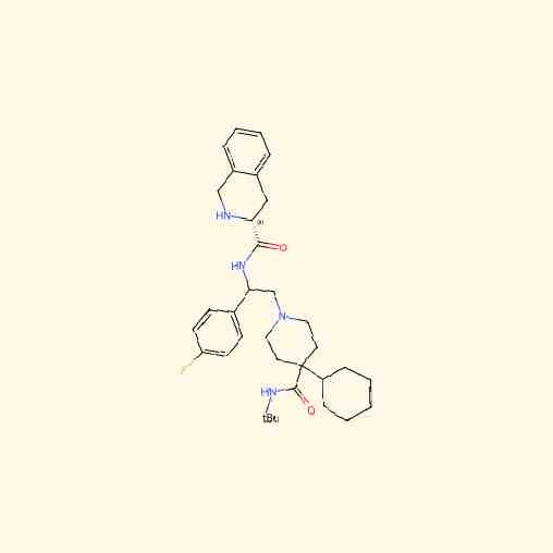 CC(C)(C)NC(=O)C1(C2CCCCC2)CCN(CC(NC(=O)[C@H]2Cc3ccccc3CN2)c2ccc(F)cc2)CC1